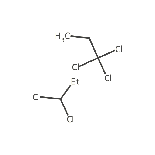 CCC(Cl)(Cl)Cl.CCC(Cl)Cl